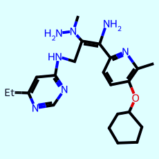 CCc1cc(NC/C(=C(/N)c2ccc(OC3CCCCC3)c(C)n2)N(C)N)ncn1